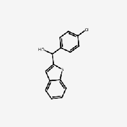 OC(c1ccc(Cl)cc1)c1cc2ccccc2s1